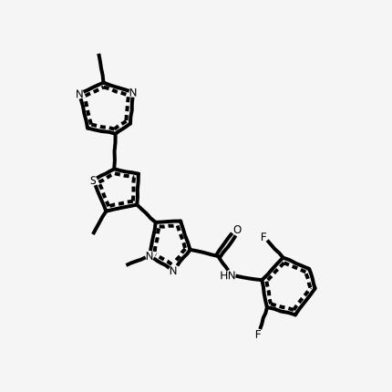 Cc1ncc(-c2cc(-c3cc(C(=O)Nc4c(F)cccc4F)nn3C)c(C)s2)cn1